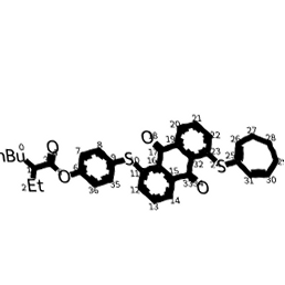 CCCCC(CC)C(=O)Oc1ccc(Sc2cccc3c2C(=O)c2cccc(SC4=CCCCC=C4)c2C3=O)cc1